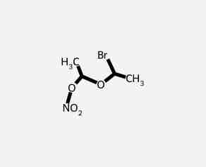 CC(Br)OC(C)O[N+](=O)[O-]